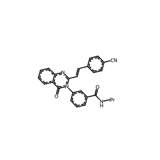 CC(C)NC(=O)c1cccc(-n2c(/C=C/c3ccc(C#N)cc3)nc3ccccc3c2=O)c1